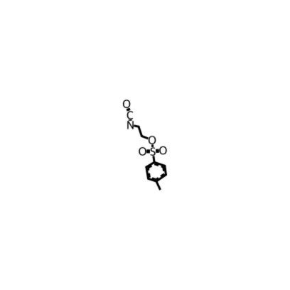 Cc1ccc(S(=O)(=O)OCCN=C=O)cc1